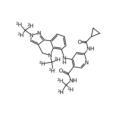 [2H]C([2H])([2H])NC(=O)c1cnc(NC(=O)C2CC2)cc1Nc1cccc2c1N(C([2H])([2H])[2H])Cc1cn(C([2H])([2H])[2H])nc1-2